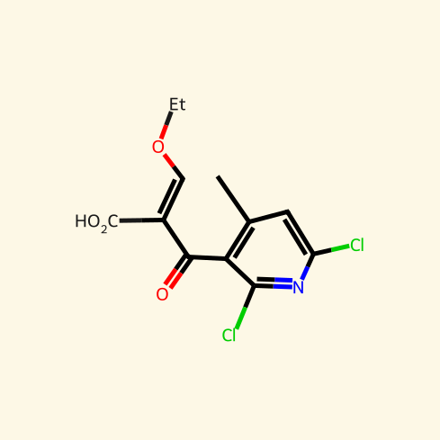 CCOC=C(C(=O)O)C(=O)c1c(C)cc(Cl)nc1Cl